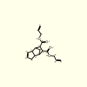 C=CCOC(=O)C1C2CC(C3CC=CC32)C1C(=O)OCC=C